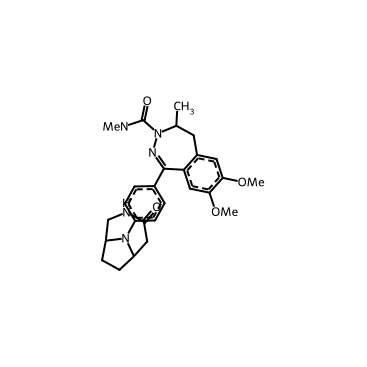 CNC(=O)N1N=C(c2ccc(N3C4CCC3CC(=O)NC4)cc2)c2cc(OC)c(OC)cc2CC1C